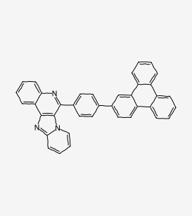 c1ccc2c(c1)nc(-c1ccc(-c3ccc4c5ccccc5c5ccccc5c4c3)cc1)c1c2nc2ccccn21